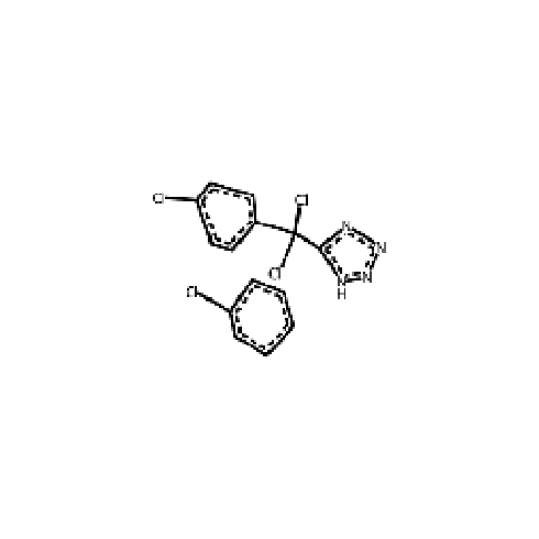 Clc1ccc(C(Cl)(Cl)c2nnn[nH]2)cc1.Clc1ccccc1